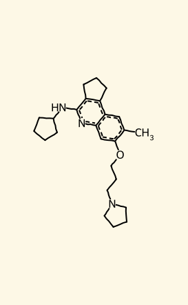 Cc1cc2c3c(c(NC4CCCC4)nc2cc1OCCCN1CCCC1)CCC3